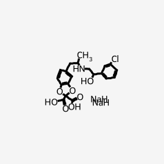 CC(Cc1ccc2c(c1)OC(C(=O)O)(C(=O)O)O2)NCC(O)c1cccc(Cl)c1.[NaH].[NaH]